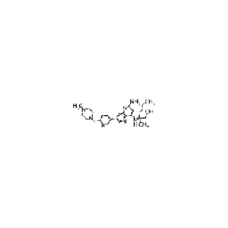 CCCC[C@](C)(CO)Nc1cc(N)nc2cc(-c3ccc(CN4CCN(C)CC4)nc3)cnc12